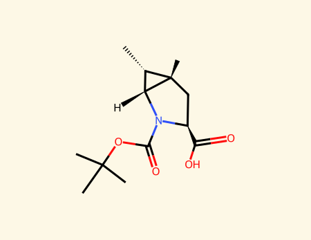 C[C@H]1[C@H]2N(C(=O)OC(C)(C)C)[C@H](C(=O)O)C[C@@]12C